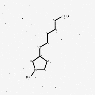 CC(C)(C)N1CCC(OCCCCC=O)C1